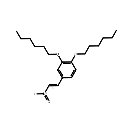 CCCCCCOc1ccc(/C=C/[N+](=O)[O-])cc1OCCCCCC